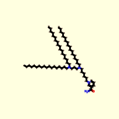 CCCCCCCCCCCCCCCCCCN(CCCCCCCCCCCCCCCCCC)CCCN(CCCCCCCCCCCCCCCCCC)CCCCCC[n+]1cccc(C(N)=O)c1